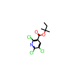 CCC(C)(C)OC(=O)c1cc(Cl)c(Cl)nc1Cl